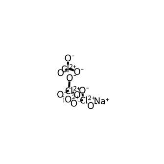 [Na+].[O+2].[O-][Cl+2]([O-])[O-].[O-][Cl+2]([O-])[O-].[O-][Cl+2]([O-])[O-]